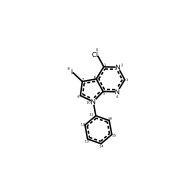 Clc1ncnc2c1c(I)cn2-c1ccccc1